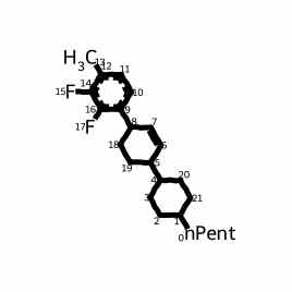 CCCCCC1CCC(C2C=CC(c3ccc(C)c(F)c3F)CC2)CC1